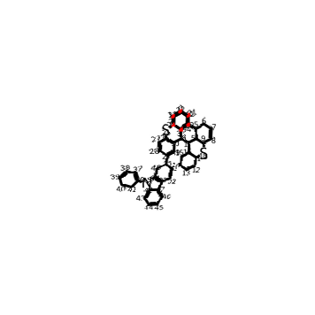 C1=CCCC(C2CC=CC3SC4C=CCCC4C(C4c5ccccc5Sc5ccc(C6C=Cc7c(n(C8=CC=CCC8)c8ccccc78)C6)cc54)C32)=C1